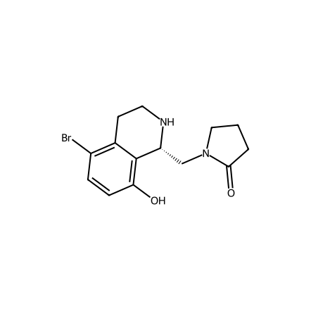 O=C1CCCN1C[C@H]1NCCc2c(Br)ccc(O)c21